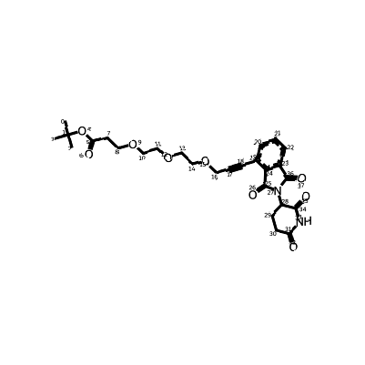 CC(C)(C)OC(=O)CCOCCOCCOCC#Cc1cccc2c1C(=O)N(C1CCC(=O)NC1=O)C2=O